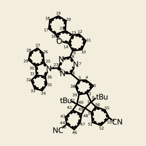 CC(C)(C)C12c3ccc(-c4nc(-c5cccc6c5oc5ccccc56)nc(-n5c6ccccc6c6ccccc65)n4)cc3C3(C(C)(C)C)c4cc(C#N)ccc4C13c1ccc(C#N)cc12